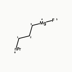 CCCCC[CH2][Mg][F]